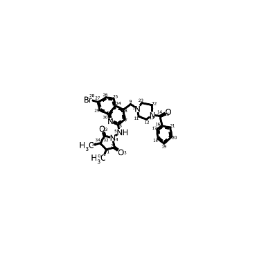 CC1C(=O)N(Nc2cc(CN3CCN(C(=O)c4ccccc4)CC3)c3ccc(Br)cc3n2)C(=O)C1C